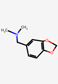 CN(C)Cc1ccc2c(c1)OCO2